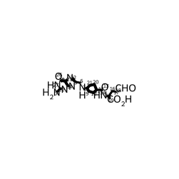 Nc1nc2nc(CNc3ccc(C(=O)NC(CCC=O)C(=O)O)cc3)cnc2c(=O)[nH]1